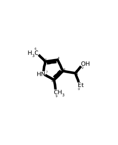 CCC(O)c1cc(C)[nH]c1C